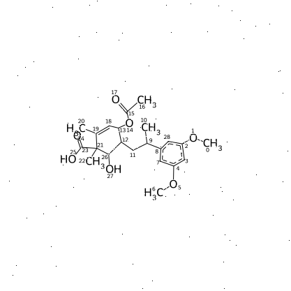 COc1cc(OC)cc(C(C)CC2C(OC(C)=O)C=C(C)C(C)(C(=O)O)C2O)c1